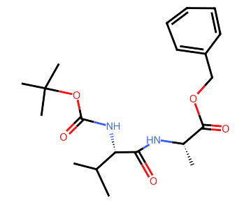 CC(C)[C@H](NC(=O)OC(C)(C)C)C(=O)N[C@@H](C)C(=O)OCc1ccccc1